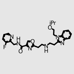 CC(C)OCCn1c(CCNCCc2nc(C(=O)NCc3ncccc3F)co2)nc2ccccc21